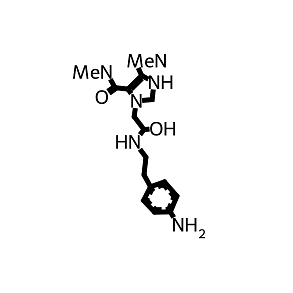 CNC(=O)C1=C(NC)NCN1CC(O)NCCc1ccc(N)cc1